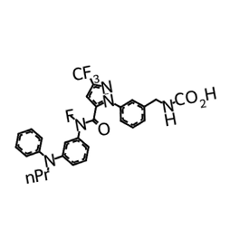 CCCN(c1ccccc1)c1cccc(N(F)C(=O)c2cc(C(F)(F)F)nn2-c2cccc(CNC(=O)O)c2)c1